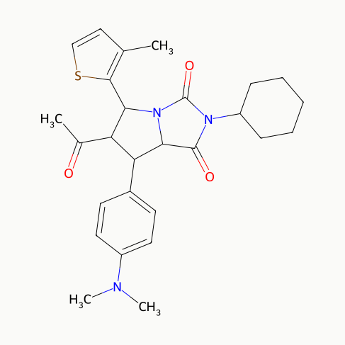 CC(=O)C1C(c2ccc(N(C)C)cc2)C2C(=O)N(C3CCCCC3)C(=O)N2C1c1sccc1C